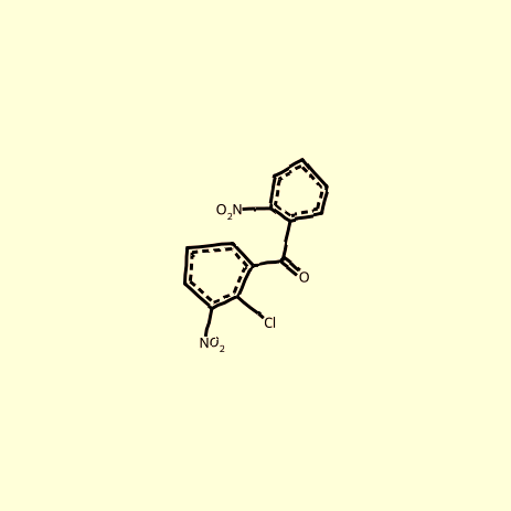 O=C(c1ccccc1[N+](=O)[O-])c1cccc([N+](=O)[O-])c1Cl